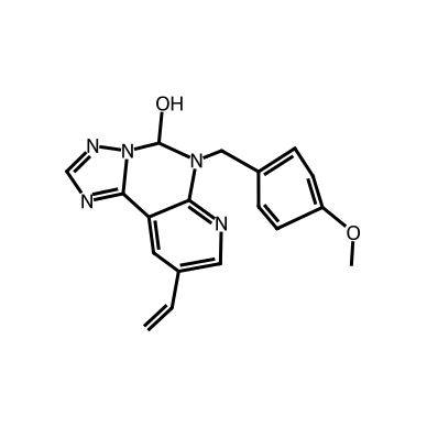 C=Cc1cnc2c(c1)-c1ncnn1C(O)N2Cc1ccc(OC)cc1